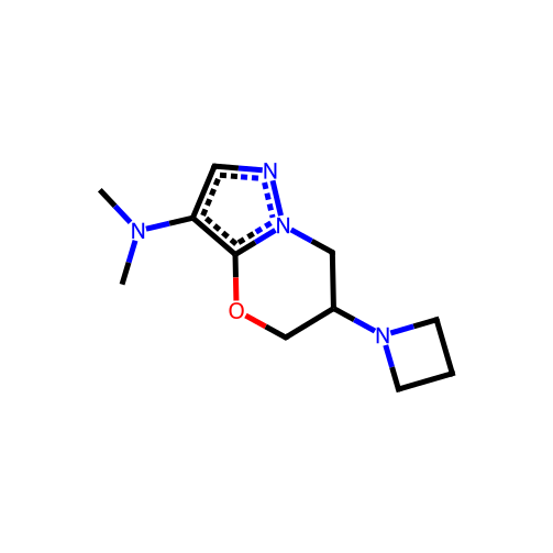 CN(C)c1cnn2c1OCC(N1CCC1)C2